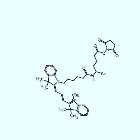 CCCC[N+]1=C(/C=C/C=C2\N(CCCCCC(=O)NC(CCCC(=O)ON3C(=O)CCC3=O)C(C)=O)c3ccccc3C2(C)C)C(C)(C)c2ccccc21